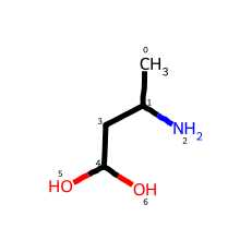 CC(N)CC(O)O